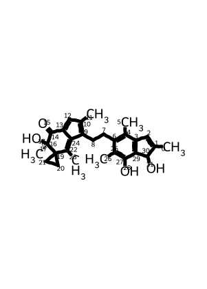 CC1=Cc2c(C)c(CCC3=C(C)C=C4C(=O)[C@](C)(O)C5(CC5)C(C)=C43)c(C)c(O)c2C1O